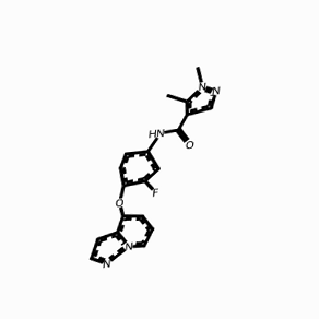 Cc1c(C(=O)Nc2ccc(Oc3cccn4nccc34)c(F)c2)cnn1C